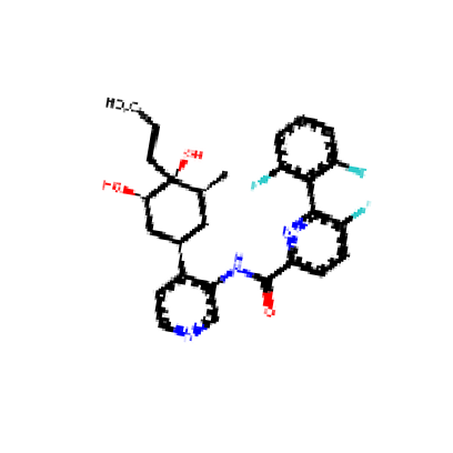 C[C@H]1C[C@@H](c2ccncc2NC(=O)c2ccc(F)c(-c3c(F)cccc3F)n2)C[C@@H](O)[C@]1(O)CCC(=O)O